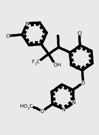 CC(c1cc(Oc2ccc(OC(=O)O)nn2)ccc1Cl)C(O)(c1ccnc(Cl)c1)C(F)(F)F